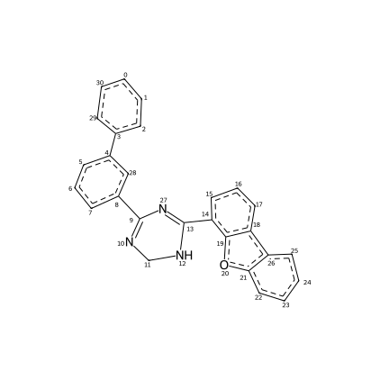 c1ccc(-c2cccc(C3=NCNC(c4cccc5c4oc4ccccc45)=N3)c2)cc1